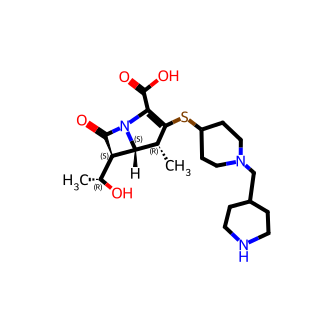 C[C@@H](O)[C@H]1C(=O)N2C(C(=O)O)=C(SC3CCN(CC4CCNCC4)CC3)[C@H](C)[C@H]12